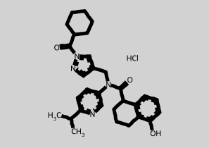 CC(C)c1ccc(N(Cc2cnn(C(=O)C3CCCCC3)c2)C(=O)C2CCCc3c(O)cccc32)cn1.Cl